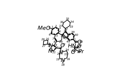 COc1ccc2c(c1)C=C(c1c(C(=O)N3CCCN(C)CC3)cnn1C1CCC1)Cn1c-2c(C2CCCCC2)c2ccc(C(=O)NS(=O)(=O)C(C)C)cc21